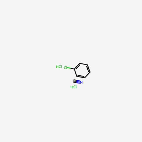 C#N.Cl.Cl.Clc1ccccc1